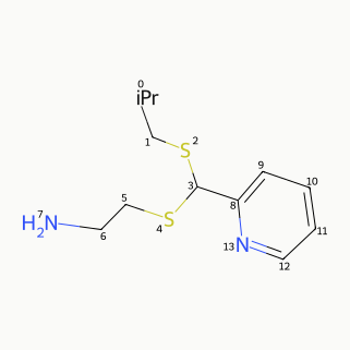 CC(C)CSC(SCCN)c1ccccn1